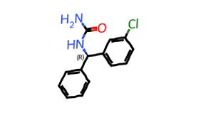 NC(=O)N[C@H](c1ccccc1)c1cccc(Cl)c1